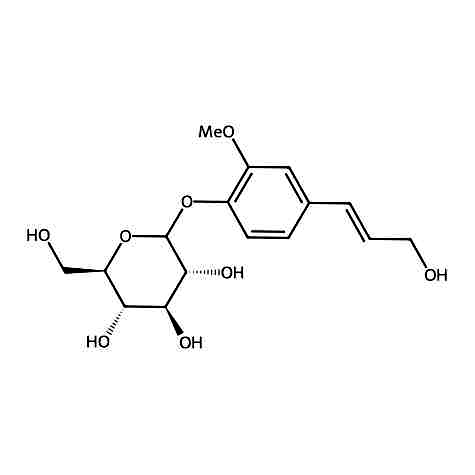 COc1cc(C=CCO)ccc1OC1O[C@H](CO)[C@@H](O)[C@H](O)[C@H]1O